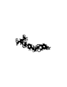 O=C(Cn1nc(C(F)F)cc1C(F)F)N1CCC(c2nc(C3OCc4ccc(Br)cc4CO3)cs2)CC1